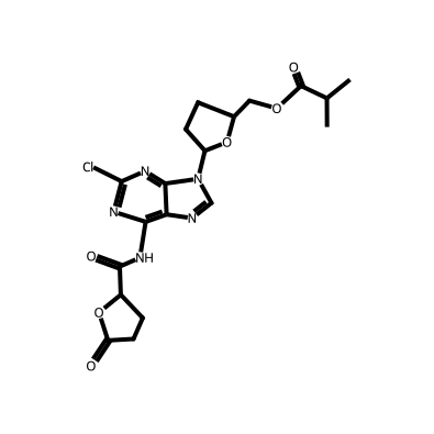 CC(C)C(=O)OCC1CCC(n2cnc3c(NC(=O)C4CCC(=O)O4)nc(Cl)nc32)O1